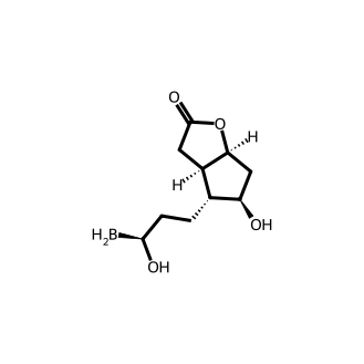 B[C@H](O)CC[C@@H]1[C@H]2CC(=O)O[C@H]2C[C@H]1O